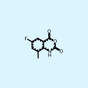 Cc1cc(F)cc2c(=O)oc(=O)[nH]c12